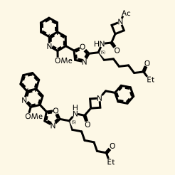 CCC(=O)CCCCC[C@H](NC(=O)C1CN(C(C)=O)C1)c1ncc(-c2cc3ccccc3nc2OC)o1.CCC(=O)CCCCC[C@H](NC(=O)C1CN(Cc2ccccc2)C1)c1ncc(-c2cc3ccccc3nc2OC)o1